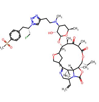 C=CC1CN=C2[C@@H]3CO[C@](C)(C3)[C@H](O[C@@H]3O[C@H](C)C[C@H](N(C)CCc4cn([C@H](CF)Cc5ccc(S(C)(=O)=O)cc5)nn4)[C@H]3O)[C@@H](C)C(=O)[C@@H](C)C(=O)O[C@H](CC)[C@@]3(C)OC(=O)N1[C@@H]3[C@H]2C